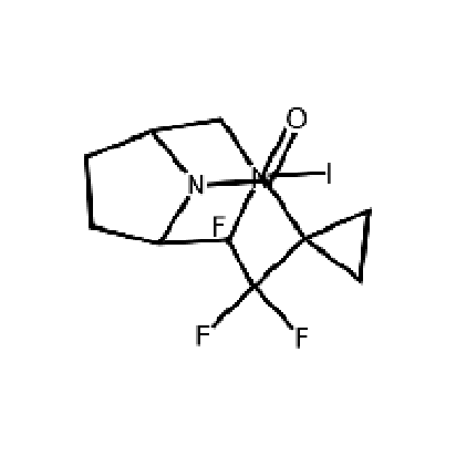 O=C(N1C2CCC1CN(I)C2)C1(C(F)(F)F)CC1